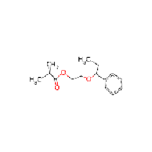 C=C(C)C(=O)OCCOC(CC)c1ccccc1